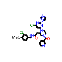 COc1ccc(CNC(=O)CC2CN(C(=O)c3cccnc3)CCN2c2cc(Cl)nc(-n3ccnc3)n2)cc1Cl